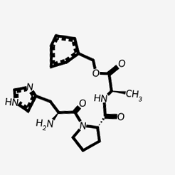 C[C@@H](NC(=O)[C@@H]1CCCN1C(=O)[C@@H](N)Cc1c[nH]cn1)C(=O)OCc1ccccc1